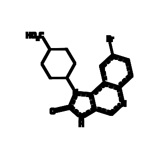 O=C(O)C1CCC(n2c(=O)[nH]c3cnc4ccc(Br)cc4c32)CC1